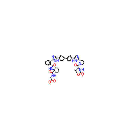 COC(=O)CNC(=O)C1(NC(=O)[C@@H]2C3CCC(C3)[C@H]2c2ncc(-c3ccc(-c4ccc(-c5cnc([C@@H]6CCCN6C(=O)C(NC(=O)OC)C(C)C)[nH]5)cc4)cc3)[nH]2)CCCCC1